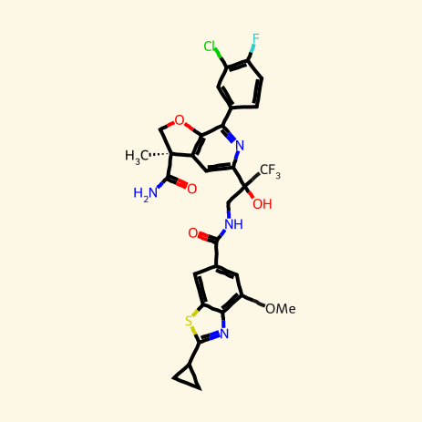 COc1cc(C(=O)NCC(O)(c2cc3c(c(-c4ccc(F)c(Cl)c4)n2)OC[C@]3(C)C(N)=O)C(F)(F)F)cc2sc(C3CC3)nc12